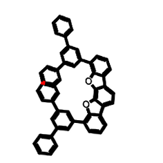 c1ccc(-c2cc(-c3ccccc3)cc(-c3cccc4c3oc3c4ccc4c5cccc(-c6cc(-c7ccccc7)cc(-c7ccccc7)c6)c5oc43)c2)cc1